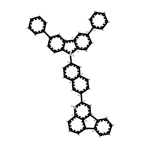 c1ccc(-c2ccc3c(c2)c2cc(-c4ccccc4)ccc2n3-c2ccc3cc(-c4cc5c6c(cccc6n4)-c4ccccc4-5)ccc3c2)cc1